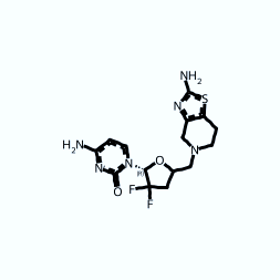 Nc1ccn([C@@H]2OC(CN3CCc4sc(N)nc4C3)CC2(F)F)c(=O)n1